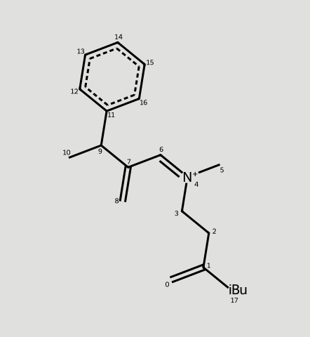 C=C(CC[N+](C)=CC(=C)C(C)c1ccccc1)C(C)CC